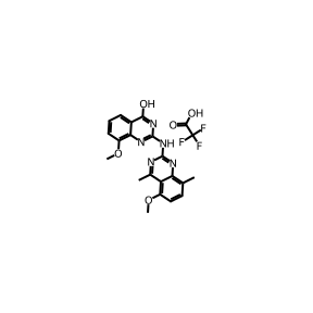 COc1cccc2c(O)nc(Nc3nc(C)c4c(OC)ccc(C)c4n3)nc12.O=C(O)C(F)(F)F